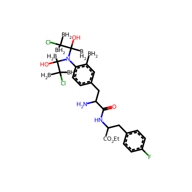 Bc1cc(CC(N)C(=O)NC(Cc2ccc(F)cc2)C(=O)OCC)ccc1N(C(B)(O)C(B)(B)Cl)C(B)(O)C(B)(B)Cl